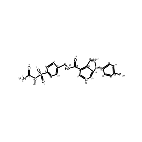 CN(C(N)=O)S(=O)(=O)c1ccc(CNC(=O)c2cncc3c2cnn3-c2ccc(F)cc2)cc1